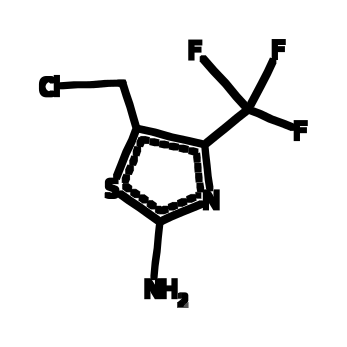 Nc1nc(C(F)(F)F)c(CCl)s1